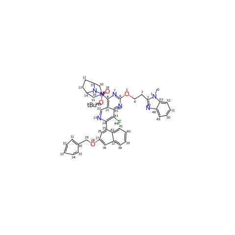 Cn1c(CCOc2nc(N3CC4CCC(C3)N4C(=O)OC(C)(C)C)c3cnc(-c4cc(OCc5ccccc5)cc5ccccc45)c(F)c3n2)nc2ccccc21